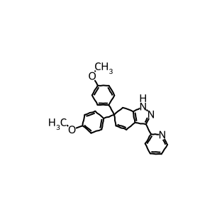 COc1ccc(C2(c3ccc(OC)cc3)C=Cc3c(-c4ccccn4)n[nH]c3C2)cc1